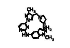 Cc1nn(-c2ccnc(Nc3ccc4c(cnn4C)c3)n2)cc1CN1CC[C@@H](N)C1